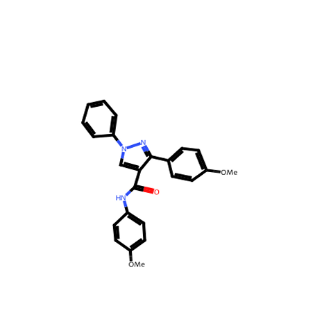 COc1ccc(NC(=O)c2cn(-c3ccccc3)nc2-c2ccc(OC)cc2)cc1